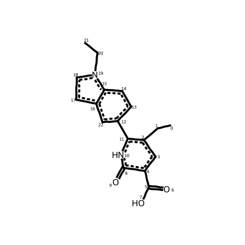 CCc1cc(C(=O)O)c(=O)[nH]c1-c1ccc2c(ccn2CC)c1